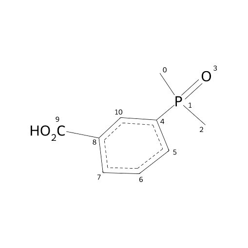 CP(C)(=O)c1cccc(C(=O)O)c1